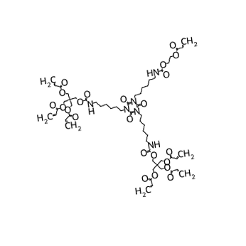 C=CC(=O)OCCOC(=O)NCCCCCCn1c(=O)n(CCCCCCNC(=O)OCC(COC(=O)C=C)(COC(=O)C=C)COC(=O)C=C)c(=O)n(CCCCCCNC(=O)OCC(COC(=O)C=C)(COC(=O)C=C)COC(=O)C=C)c1=O